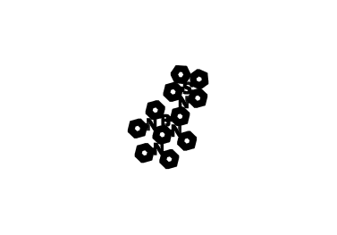 c1ccc(N(c2ccccc2)c2cc3c4c(c2)N(c2ccccc2)c2ccc(N5c6ccccc6S(c6ccccc6)(c6ccccc6)c6ccccc65)cc2B4c2ccccc2N3c2ccccc2)cc1